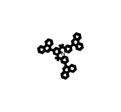 CC1(C)C2=C3C(CC(C4=Cc5ccccc5C5C=CC=CC45)=C2)C(C)(C)c2cc(-c4cc5ccccc5c5c4C=CCC5)ccc2N3c2ccc(-c3cc4ccccc4c4ccccc34)cc21